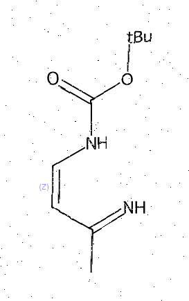 CC(=N)/C=C\NC(=O)OC(C)(C)C